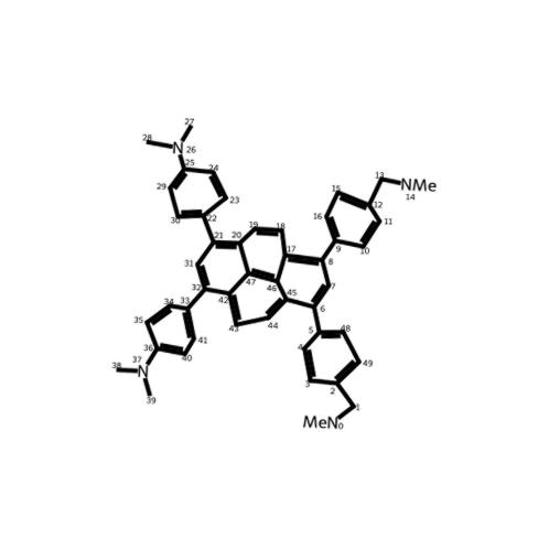 CNCc1ccc(-c2cc(-c3ccc(CNC)cc3)c3ccc4c(-c5ccc(N(C)C)cc5)cc(-c5ccc(N(C)C)cc5)c5ccc2c3c54)cc1